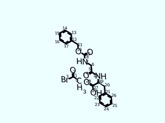 CC(=O)Br.O=C(CNC(=O)OCc1ccccc1)N[C@@H](Cc1ccccc1)C(=O)O